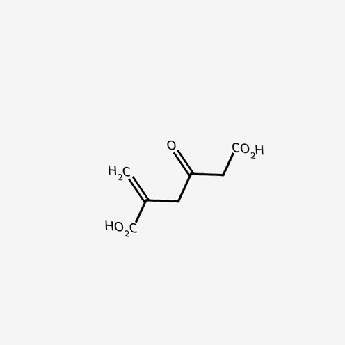 C=C(CC(=O)CC(=O)O)C(=O)O